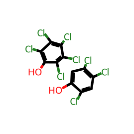 Oc1c(Cl)c(Cl)c(Cl)c(Cl)c1Cl.Oc1cc(Cl)c(Cl)cc1Cl